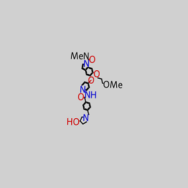 CNC(=O)n1ccc2cc(Oc3ccnc(NC(=O)c4ccc(CN5CC[C@@H](O)C5)cc4)c3)c(OCCCOC)cc21